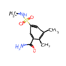 CNS(=O)(=O)c1cc(C)c(C)c(C(N)=O)c1